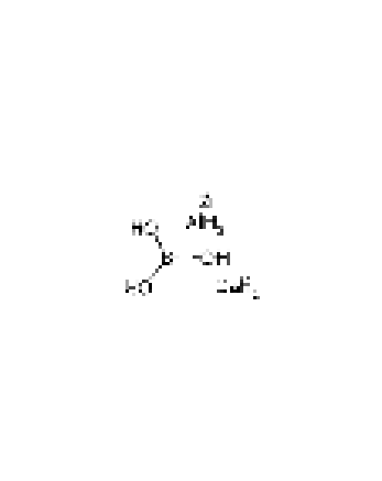 OB(O)O.[AlH3].[CaH2].[Zr]